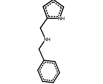 c1ccc(CNCc2ccc[nH]2)cc1